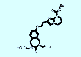 CC(C)(C)OC(=O)N1CCCn2cc(CCOc3ccc4c(c3)CN(CC(F)(F)F)C(=O)[C@H](CC(=O)O)C4)nc21